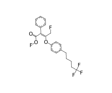 O=C(OF)C(=C(CF)Oc1ccc(CCCCC(F)(F)F)cc1)c1ccccc1